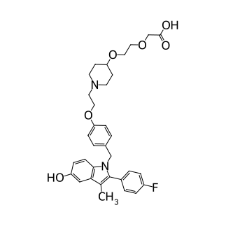 Cc1c(-c2ccc(F)cc2)n(Cc2ccc(OCCN3CCC(OCCOCC(=O)O)CC3)cc2)c2ccc(O)cc12